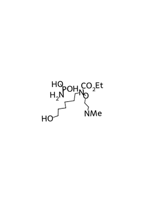 CCOC(=O)N(CCCCCCO)OCCNC.NP(O)O